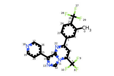 Cc1cc(-c2cc(C(F)(F)F)n3cnc(-c4ccncc4)c3n2)ccc1C(F)(F)F